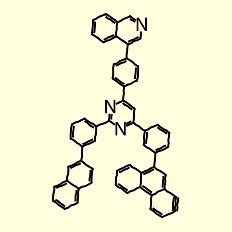 c1ccc2c(c#1)cc(-c1cccc(-c3cc(-c4ccc(-c5cncc6ccccc56)cc4)nc(-c4cccc(-c5ccc6ccccc6c5)c4)n3)c1)c1ccccc12